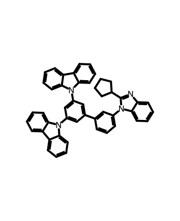 c1cc(-c2cc(-n3c4ccccc4c4ccccc43)cc(-n3c4ccccc4c4ccccc43)c2)cc(-n2c(C3CCCC3)nc3ccccc32)c1